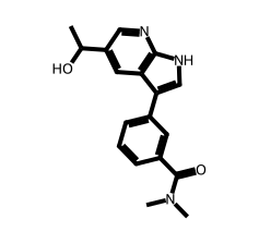 CC(O)c1cnc2[nH]cc(-c3cccc(C(=O)N(C)C)c3)c2c1